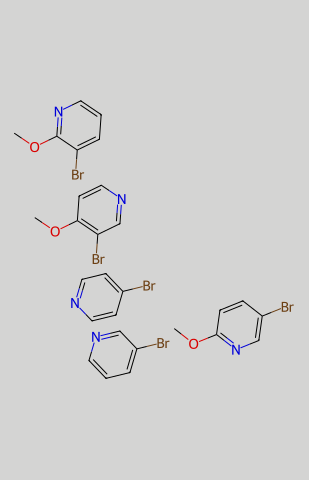 Brc1cccnc1.Brc1ccncc1.COc1ccc(Br)cn1.COc1ccncc1Br.COc1ncccc1Br